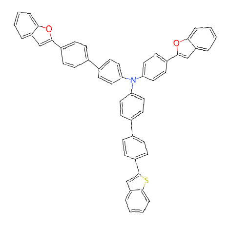 c1ccc2oc(-c3ccc(-c4ccc(N(c5ccc(-c6ccc(-c7cc8ccccc8s7)cc6)cc5)c5ccc(-c6cc7ccccc7o6)cc5)cc4)cc3)cc2c1